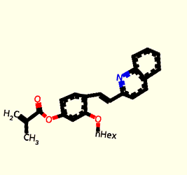 C=C(C)C(=O)Oc1ccc(C=Cc2ccc3ccccc3n2)c(OCCCCCC)c1